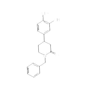 Cc1cc(C2CCN(Cc3ccccc3)C(=O)C2)ccc1C=O